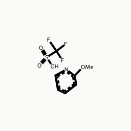 COc1ccccn1.O=S(=O)(O)C(F)(F)F